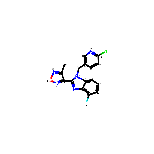 Cc1nonc1-c1nc2c(F)cccc2n1Cc1ccc(Cl)nc1